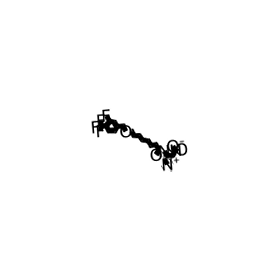 C[N+](C)(C)C[C@@H](CC(=O)[O-])NC(=O)CCCCCCCOCc1ccc(C(F)(F)F)c(F)c1